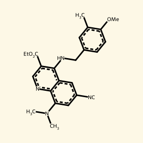 [C-]#[N+]c1cc(N(C)C)c2ncc(C(=O)OCC)c(NCc3ccc(OC)c(C)c3)c2c1